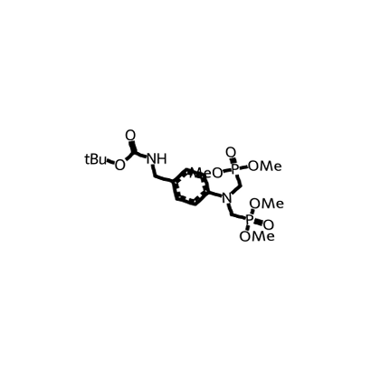 COP(=O)(CN(CP(=O)(OC)OC)c1ccc(CNC(=O)OC(C)(C)C)cc1)OC